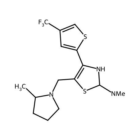 CNC1NC(c2cc(C(F)(F)F)cs2)=C(CN2CCCC2C)S1